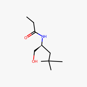 CCC(=O)N[C@H](CO)CC(C)(C)C